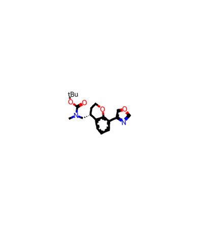 CN(C[C@@H]1CCOc2c(-c3cocn3)cccc21)C(=O)OC(C)(C)C